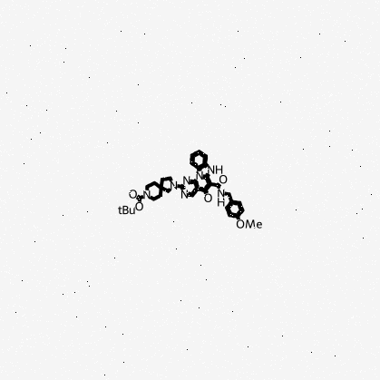 COc1ccc(CNC(=O)c2c(=O)c3cnc(N4CCC5(CCN(C(=O)OC(C)(C)C)CC5)C4)nc3n3c2[nH]c2ccccc23)cc1